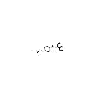 C[C@@H]1C[C@@H](CNC(=N)N)CC[C@H]1C(=O)Nc1ccnc2[nH]ccc12